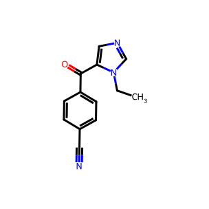 CCn1cncc1C(=O)c1ccc(C#N)cc1